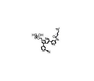 CN(C)C/C=C/C(=O)N(C)c1cncc(-c2cnc3c(c2)c(-c2ccnc(C#N)c2)cn3COP(=O)(O)O)c1